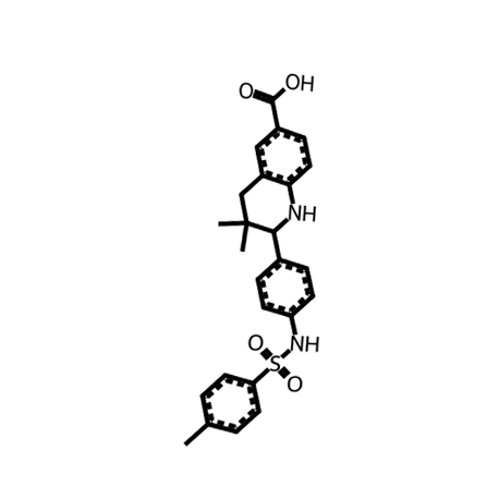 Cc1ccc(S(=O)(=O)Nc2ccc(C3Nc4ccc(C(=O)O)cc4CC3(C)C)cc2)cc1